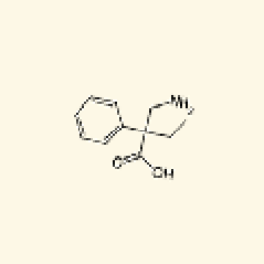 CCC(CN)(C(=O)O)c1ccccc1